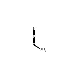 [N-]=[N+]=[N][BiH2]